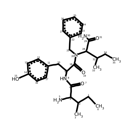 CCC(C)C(N)C(=O)NC(Cc1ccc(O)cc1)C(=O)N(Cc1ccccc1)C(C(N)=O)C(C)CC